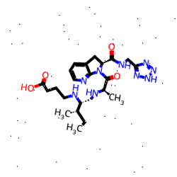 CC[C@H](C)[C@@H](CN[C@H](C)C(=O)N1c2ncccc2C[C@H]1C(=O)NCc1nn[nH]n1)NCCCC(=O)O